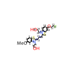 COc1ccc2c(c1)N(CCO)/C(=C/C=C/c1sc3cc(OCCF)ccc3[n+]1CCO)S2